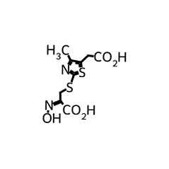 Cc1nc(SC/C(=N/O)C(=O)O)sc1CC(=O)O